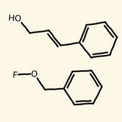 FOCc1ccccc1.OCC=Cc1ccccc1